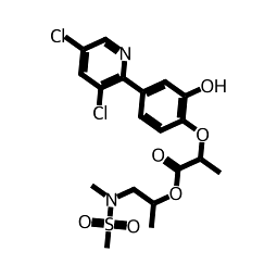 CC(CN(C)S(C)(=O)=O)OC(=O)C(C)Oc1ccc(-c2ncc(Cl)cc2Cl)cc1O